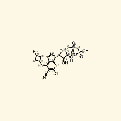 N#Cc1c(Cl)nc2c(cnn2[C@@H]2O[C@H](CS(=O)(=O)CP(=O)(O)O)[C@@H](O)[C@H]2O)c1NC1CC(F)C1